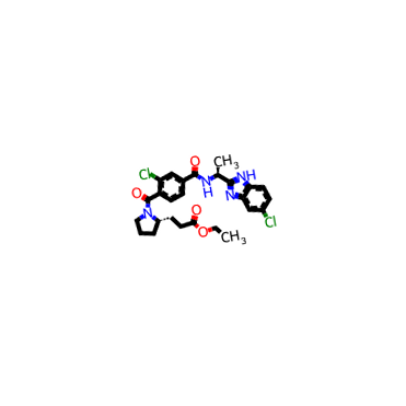 CCOC(=O)CC[C@@H]1CCCN1C(=O)c1ccc(C(=O)N[C@@H](C)c2nc3cc(Cl)ccc3[nH]2)cc1Cl